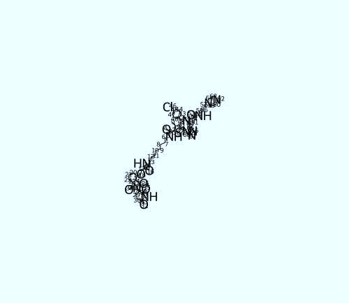 Cc1c(C(=O)NCCCCCCCCNC(=O)COc2cccc3c2C(=O)N(C2CCC(=O)NC2=O)C3=O)sc2c1C(c1ccc(Cl)cc1)=N[C@@H](CC(=O)NCCCN1CCN(C)CC1)c1nncn1-2